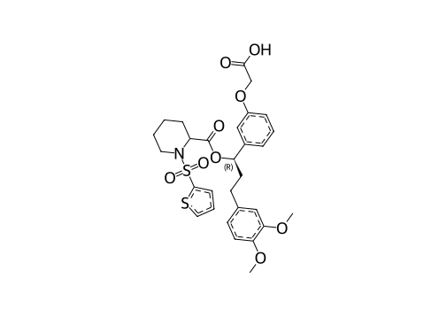 COc1ccc(CC[C@@H](OC(=O)C2CCCCN2S(=O)(=O)c2cccs2)c2cccc(OCC(=O)O)c2)cc1OC